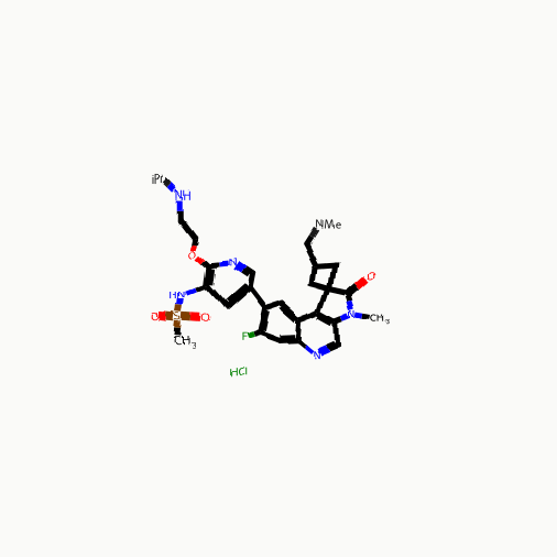 CNCC1CC2(C1)C(=O)N(C)c1cnc3cc(F)c(-c4cnc(OCCNC(C)C)c(NS(C)(=O)=O)c4)cc3c12.Cl